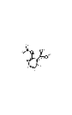 COC(=O)c1ncccc1OC(C)C